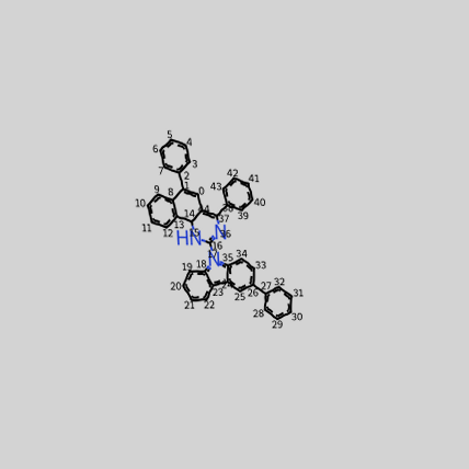 C1=C(c2ccccc2)c2ccccc2C2NC(n3c4ccccc4c4cc(-c5ccccc5)ccc43)=NC(c3ccccc3)=C12